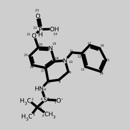 CC(C)(C)[S+]([O-])NC1CCN(Cc2ccccc2)c2nc(O[PH](=O)O)ccc21